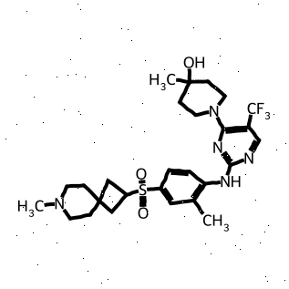 Cc1cc(S(=O)(=O)C2CC3(CCN(C)CC3)C2)ccc1Nc1ncc(C(F)(F)F)c(N2CCC(C)(O)CC2)n1